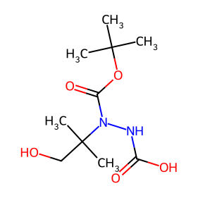 CC(C)(C)OC(=O)N(NC(=O)O)C(C)(C)CO